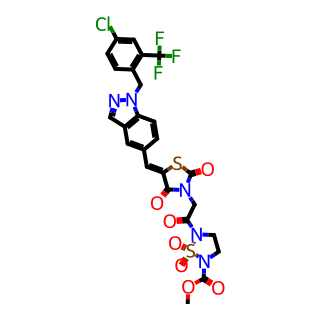 COC(=O)N1CCN(C(=O)CN2C(=O)S/C(=C\c3ccc4c(cnn4Cc4ccc(Cl)cc4C(F)(F)F)c3)C2=O)S1(=O)=O